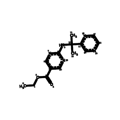 CCOC(=O)c1cnc(NC(C)(C)c2cnccn2)nc1